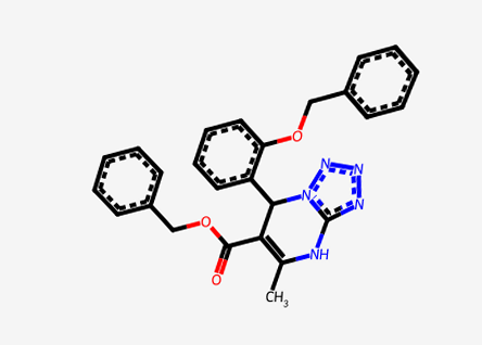 CC1=C(C(=O)OCc2ccccc2)C(c2ccccc2OCc2ccccc2)n2nnnc2N1